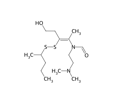 CCCC(C)SS/C(CCO)=C(/C)N(C=O)CCN(C)C